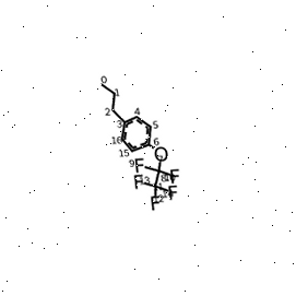 CCCc1ccc(OC(F)(F)C(F)(F)F)cc1